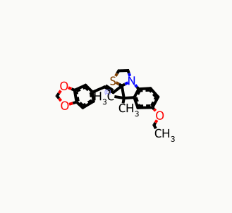 CCOc1ccc2c(c1)C(C)(C)C1(/C=C/c3ccc4c(c3)OCO4)SCCN21